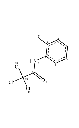 Cc1ccccc1NC(=O)C(Cl)(Cl)Cl